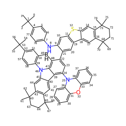 CC(C)(C)c1ccc(Nc2cc3sc4cc5c(cc4c3cc2-c2cc(N3c4ccccc4Oc4ccccc43)c3c4cc6c(cc4n4c3c2Bc2cc(C(C)(C)C)ccc2-4)C(C)(C)CCC6(C)C)C(C)(C)CCC5(C)C)cc1